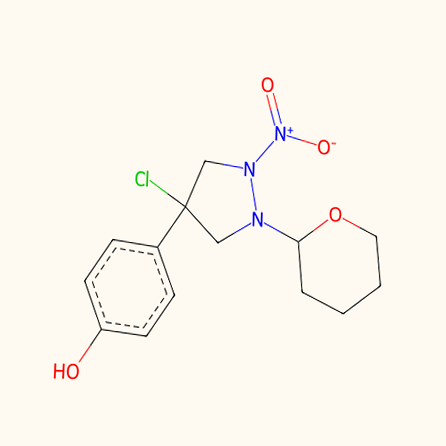 O=[N+]([O-])N1CC(Cl)(c2ccc(O)cc2)CN1C1CCCCO1